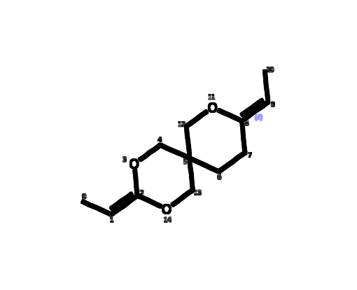 CC=C1OCC2(CC/C(=C/C)OC2)CO1